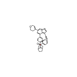 N#Cc1cnn2cc(C3=CCOCC3)cc(-c3ccc(N4CC5CCC(C4)N5C(=O)c4ccccc4)nc3)c12